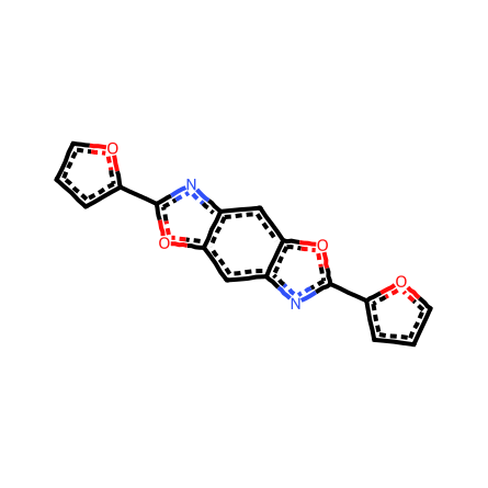 c1coc(-c2nc3cc4oc(-c5ccco5)nc4cc3o2)c1